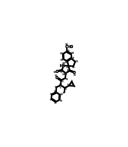 CC(C1CC1)N(Cc1ccccc1)C(=O)CN1C(=O)NC2(CCc3cc(C=O)ccc32)C1=O